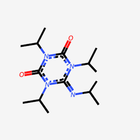 CC(C)N=c1n(C(C)C)c(=O)n(C(C)C)c(=O)n1C(C)C